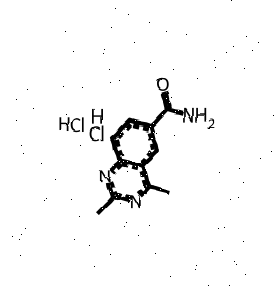 Cc1nc(C)c2cc(C(N)=O)ccc2n1.Cl.Cl